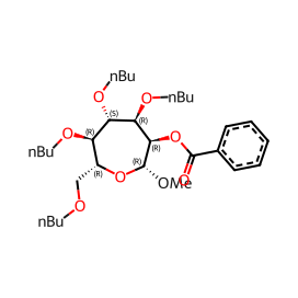 CCCCOC[C@H]1O[C@@H](OC)[C@H](OC(=O)c2ccccc2)[C@H](OCCCC)[C@@H](OCCCC)[C@@H]1OCCCC